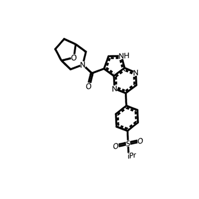 CC(C)S(=O)(=O)c1ccc(-c2cnc3[nH]cc(C(=O)N4CC5CCC(C4)O5)c3n2)cc1